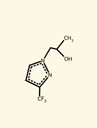 CC(O)Cn1c[c]c(C(F)(F)F)n1